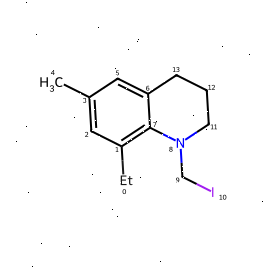 CCc1cc(C)cc2c1N(CI)CCC2